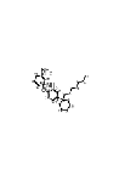 CCCCCCCC1(c2ccc(OC3(N)C=CCC(N)=C3)cc2)CCCCC1